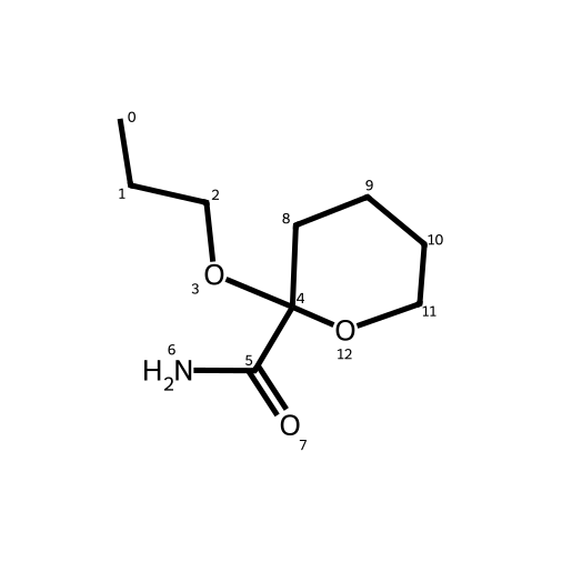 CCCOC1(C(N)=O)CCCCO1